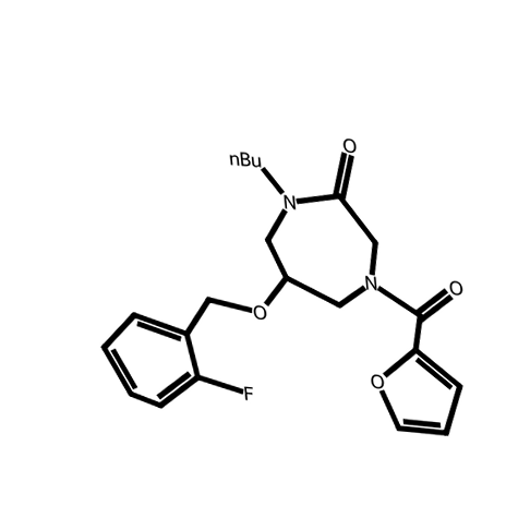 CCCCN1CC(OCc2ccccc2F)CN(C(=O)c2ccco2)CC1=O